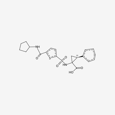 O=C(NC1CCCC1)c1ccc(S(=O)(=O)NC2(C(=O)O)C[C@H]2c2ccccc2)s1